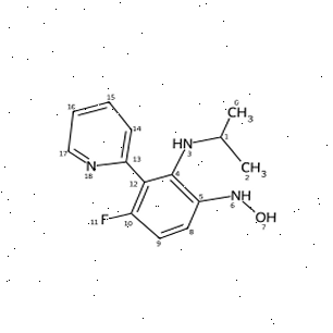 CC(C)Nc1c(NO)ccc(F)c1-c1ccccn1